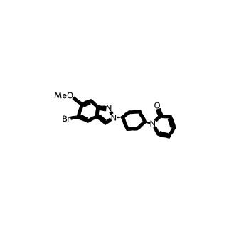 COc1cc2nn([C@H]3CC[C@H](n4ccccc4=O)CC3)cc2cc1Br